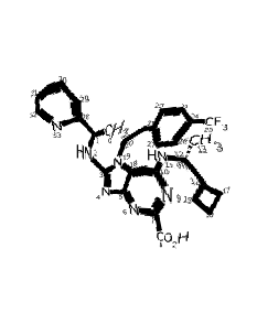 CC(Nc1nc2nc(C(=O)O)nc(N[C@H](C)C3CCC3)c2n1Cc1ccc(C(F)(F)F)cc1)c1ccccn1